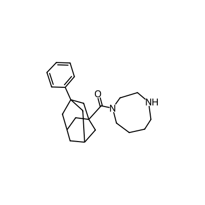 O=C(N1CCCCNCC1)C12CC3CC(C1)CC(c1ccccc1)(C3)C2